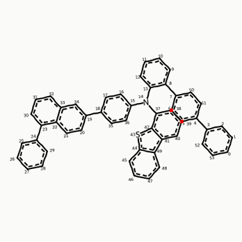 c1ccc(-c2ccc(-c3ccccc3N(c3ccc(-c4ccc5c(-c6ccccc6)cccc5c4)cc3)c3cccc4c3sc3ccccc34)cc2)cc1